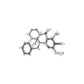 O=C(O)c1cn2c(c(O)c1=O)C(=O)N1CCCO[C@H]1[C@@H]2Cc1ccccc1